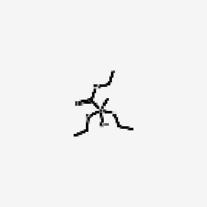 CCOC(=O)P(C)(O)(OCC)OCC